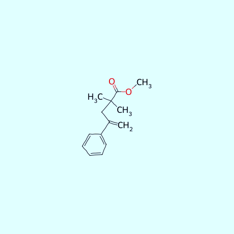 C=C(CC(C)(C)C(=O)OC)c1ccccc1